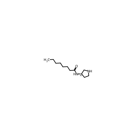 CCCCCCCC(=O)N[C@@H]1CCNC1